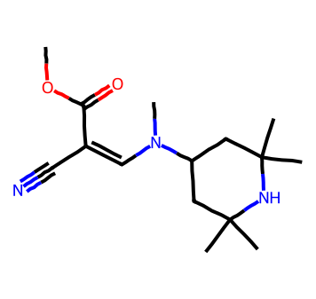 COC(=O)C(C#N)=CN(C)C1CC(C)(C)NC(C)(C)C1